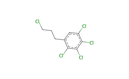 ClCCCc1cc(Cl)c(Cl)c(Cl)c1Cl